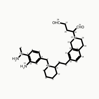 CN(N)c1ccc(CN2CCCCC2CCc2ccc3c(c2)CN(C(C=O)CCC=O)CC3)cc1N